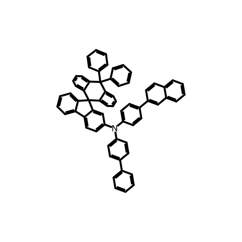 c1ccc(-c2ccc(N(c3ccc(-c4ccc5ccccc5c4)cc3)c3ccc4c(c3)C3(c5ccccc5-4)c4ccccc4C(c4ccccc4)(c4ccccc4)c4ccccc43)cc2)cc1